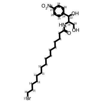 O=C(CCCCCCCCCCCCCCCBr)NC(CO)C(O)c1ccc([N+](=O)[O-])cc1